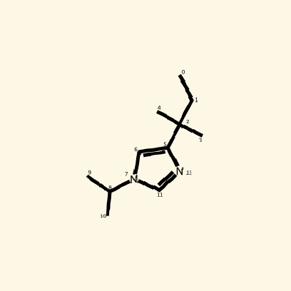 CCC(C)(C)c1cn(C(C)C)cn1